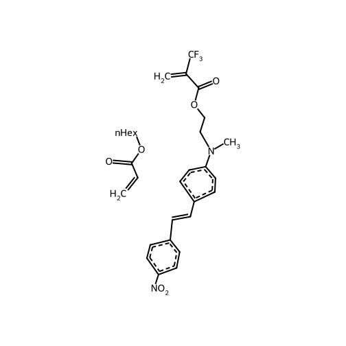 C=C(C(=O)OCCN(C)c1ccc(C=Cc2ccc([N+](=O)[O-])cc2)cc1)C(F)(F)F.C=CC(=O)OCCCCCC